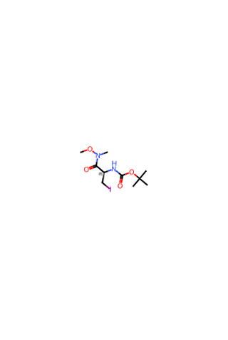 CON(C)C(=O)[C@H](CI)NC(=O)OC(C)(C)C